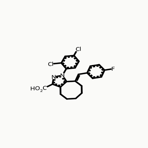 O=C(O)c1nn(-c2ccc(Cl)cc2Cl)c2c1CCCCCC2=Cc1ccc(F)cc1